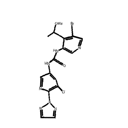 COC(C)c1c(Br)cncc1NC(=O)Nc1cnc(-n2nccn2)c(Cl)c1